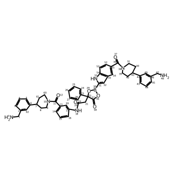 NCc1cccc(C2CCN(C(=O)c3cccc(NC(=O)CC4(c5ccccc5)OB(c5cc6cc(C(=O)N7CCC(c8cccc(CN)c8)CC7)ccc6[nH]5)OC4=O)c3)CC2)c1